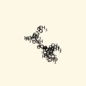 COC(=O)/C=C/C(=O)O[C@@H](C(=O)NCCC(=O)OCC(=O)[C@H]1CC[C@H]2[C@@H]3C[C@H](C)C4=CC(=O)C=C[C@]4(C)[C@H]3[C@@H](O[Si](C)(C)C(C)(C)C)C[C@]12C)C(C)(C)CO